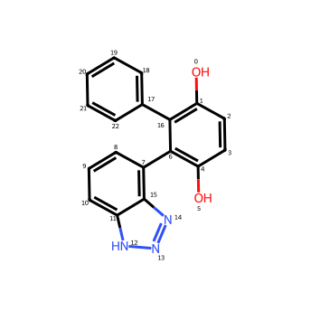 Oc1ccc(O)c(-c2cccc3[nH]nnc23)c1-c1ccccc1